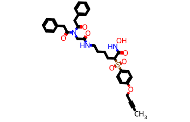 CC#CCOc1ccc(S(=O)(=O)C(CCCCNC(=O)CN(C(=O)Cc2ccccc2)C(=O)Cc2ccccc2)C(=O)NO)cc1